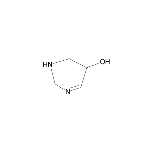 OC1C=NCNC1